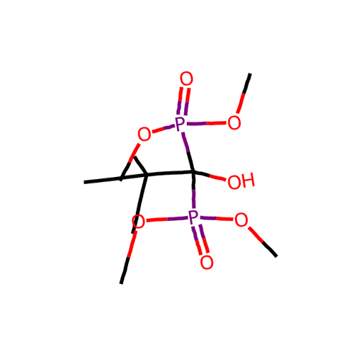 COP(=O)(OC)C(O)(C(C)(C)C)P(=O)(OC)OC